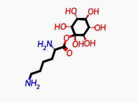 NCCCC[C@H](N)C(=O)O[C@]1(O)[C@H](O)[C@H](O)[C@@H](O)[C@H](O)[C@H]1O